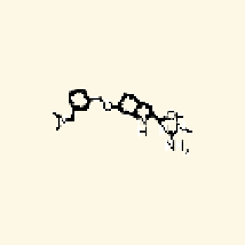 CNC(N)=NC(=O)c1cc2ccc(OCc3cccc(CN(C)C)c3)cc2[nH]1